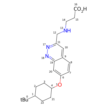 CC(C)(C)C1CCC(Oc2ccc3cc(CNCCC(=O)O)nnc3c2)CC1